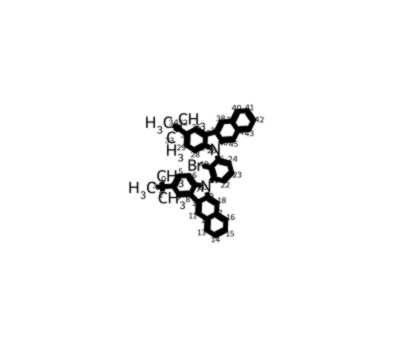 CC(C)(C)c1ccc2c(c1)c1cc3ccccc3cc1n2-c1cccc(-n2c3ccc(C(C)(C)C)cc3c3cc4ccccc4cc32)c1Br